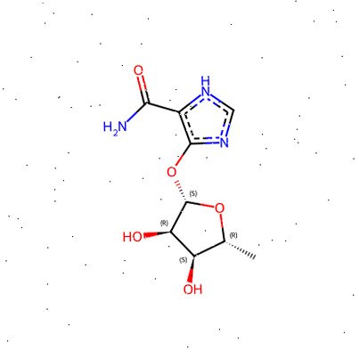 C[C@H]1O[C@@H](Oc2nc[nH]c2C(N)=O)[C@H](O)[C@@H]1O